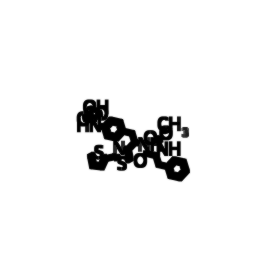 COC(=O)NC(Cc1ccccc1)C(=O)NC(Cc1ccc(NS(=O)(=O)O)cc1)c1csc(-c2cccs2)n1